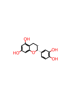 Oc1cc(O)c2c(c1)O[C@@H](c1ccc(O)c(O)c1)[CH]C2